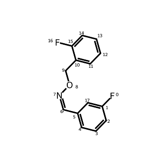 Fc1cccc(/[C]=N\OCc2ccccc2F)c1